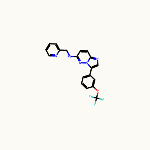 FC(F)(F)Oc1cccc(-c2cnc3ccc(NCc4ccccn4)nn23)c1